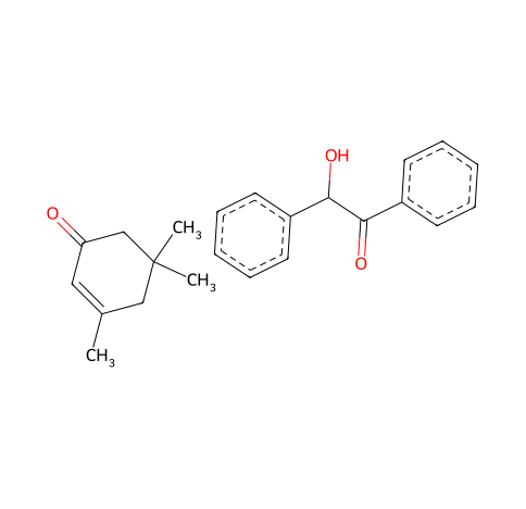 CC1=CC(=O)CC(C)(C)C1.O=C(c1ccccc1)C(O)c1ccccc1